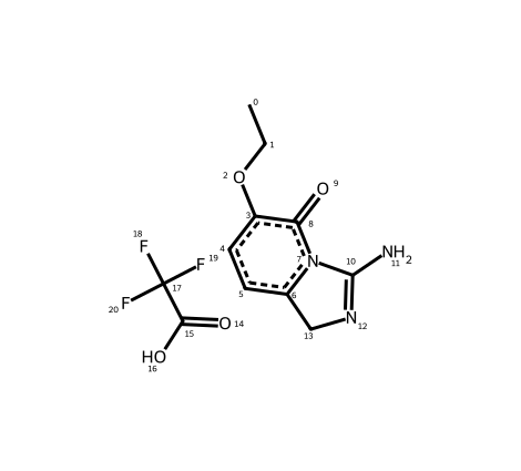 CCOc1ccc2n(c1=O)C(N)=NC2.O=C(O)C(F)(F)F